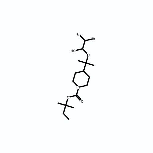 CCC(C)(C)OC(=O)N1CCC(C(C)(C)OC(O)C(Br)Br)CC1